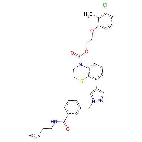 Cc1c(Cl)cccc1OCCOC(=O)N1CCSc2c(-c3cnn(Cc4cccc(C(=O)NCCS(=O)(=O)O)c4)c3)cccc21